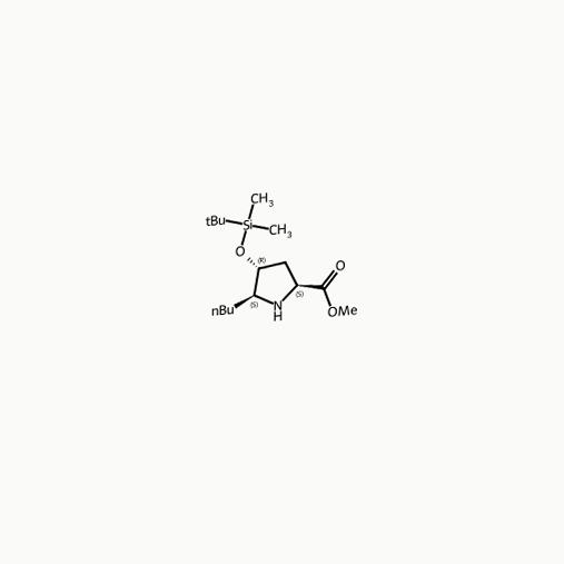 CCCC[C@@H]1N[C@H](C(=O)OC)C[C@H]1O[Si](C)(C)C(C)(C)C